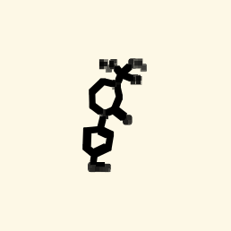 CCC(C)(C)N1CCCN(c2ccc(OC)cc2)C(=O)C1